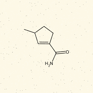 CC1C=C(C(N)=O)CC1